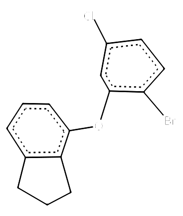 Clc1ccc(Br)c(Oc2cccc3c2CCC3)c1